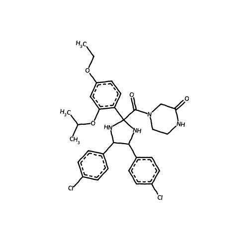 CCOc1ccc(C2(C(=O)N3CCNC(=O)C3)NC(c3ccc(Cl)cc3)C(c3ccc(Cl)cc3)N2)c(OC(C)C)c1